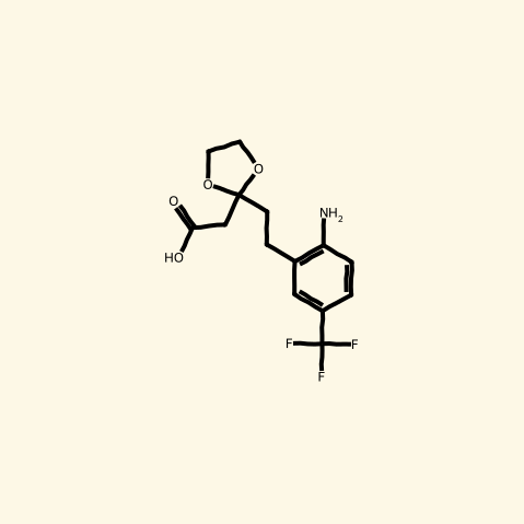 Nc1ccc(C(F)(F)F)cc1CCC1(CC(=O)O)OCCO1